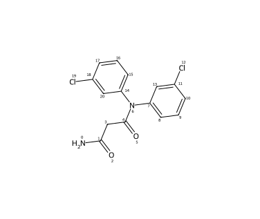 NC(=O)CC(=O)N(c1cccc(Cl)c1)c1cccc(Cl)c1